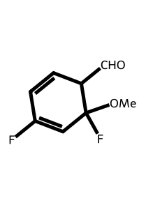 COC1(F)C=C(F)C=CC1C=O